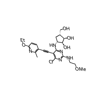 CCOc1ccc(C#Cc2c(Cl)nc(NCCOC)nc2N[C@@H]2C[C@H](CO)[C@@H](O)[C@H]2O)c(C)n1